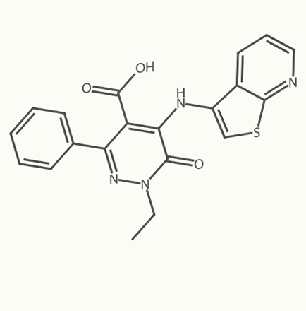 CCn1nc(-c2ccccc2)c(C(=O)O)c(Nc2csc3ncccc23)c1=O